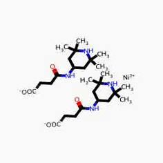 CC1(C)CC(NC(=O)CCC(=O)[O-])CC(C)(C)N1.CC1(C)CC(NC(=O)CCC(=O)[O-])CC(C)(C)N1.[Ni+2]